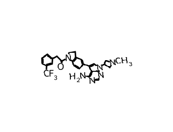 CN1CC(n2cc(-c3ccc4c(c3)CCN4C(=O)Cc3cccc(C(F)(F)F)c3)c3c(N)ncnc32)C1